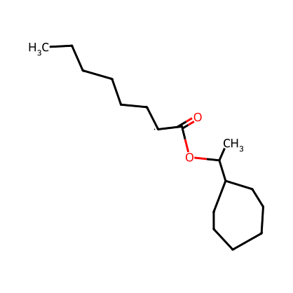 CCCCCC[CH]C(=O)OC(C)C1CCCCCC1